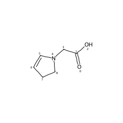 O=C(O)CN1C=CCC1